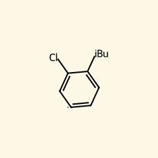 CCC(C)c1cc[c]cc1Cl